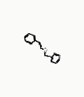 C(=Cc1ccccc1)OCc1ccccc1